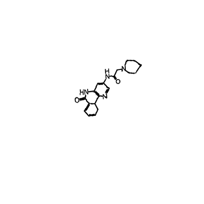 O=C(CN1CCCCC1)Nc1cnc2c(c1)NC(=O)C1=CC=CCC12